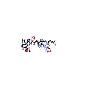 CCOc1ccccc1CN(C)C(=O)/C=C/c1cnc2c(c1)CN(C)CC(=O)N2